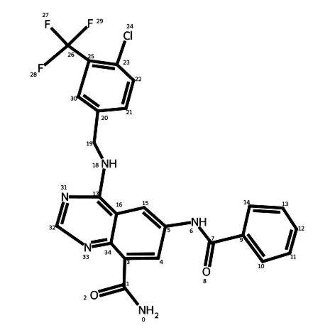 NC(=O)c1cc(NC(=O)c2ccccc2)cc2c(NCc3ccc(Cl)c(C(F)(F)F)c3)ncnc12